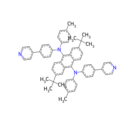 Cc1ccc(N(c2ccc(-c3ccncc3)cc2)c2c3ccc(C(C)(C)C)cc3c(N(c3ccc(C)cc3)c3ccc(-c4ccncc4)cc3)c3ccc(C(C)(C)C)cc23)cc1